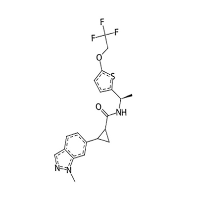 C[C@@H](NC(=O)C1CC1c1ccc2cnn(C)c2c1)c1ccc(OCC(F)(F)F)s1